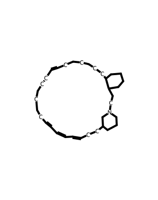 C1=CC=CCCC2CCCN(CCC3CCCCC3CCCCCCC=CCCCCCCC=C1)C2